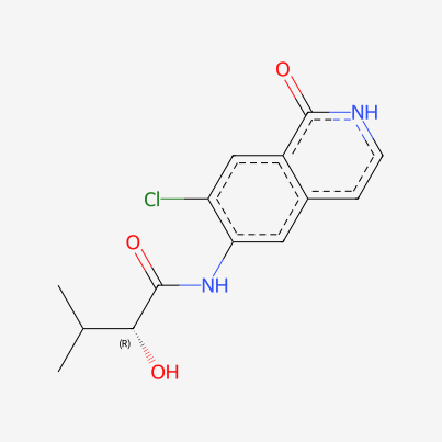 CC(C)[C@@H](O)C(=O)Nc1cc2cc[nH]c(=O)c2cc1Cl